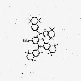 Cc1cc2c(cc1N1c3cc4c(cc3B3c5c1cc(C(C)(C)C)cc5N(c1ccc5c(c1)C(C)(C)CCC5(C)C)c1oc5c(c13)C(C)(C)CCC5(C)C)C(C)(C)CCC4(C)C)C(C)(C)CCC2(C)C